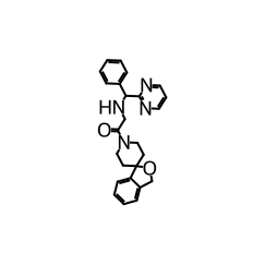 O=C(CNC(c1ccccc1)c1ncccn1)N1CCC2(CC1)OCc1ccccc12